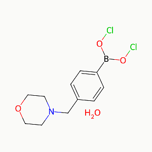 ClOB(OCl)c1ccc(CN2CCOCC2)cc1.O